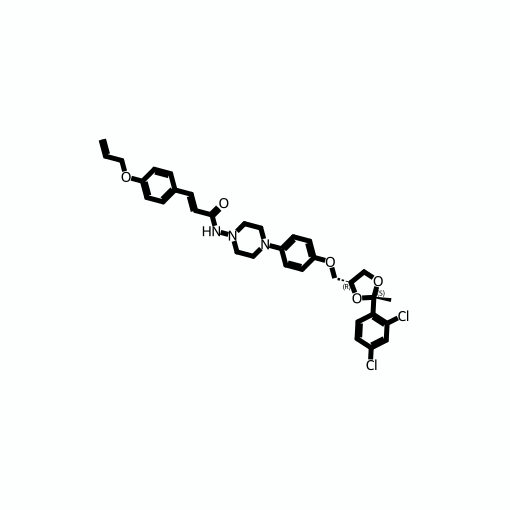 C=CCOc1ccc(C=CC(=O)NN2CCN(c3ccc(OC[C@@H]4CO[C@](C)(c5ccc(Cl)cc5Cl)O4)cc3)CC2)cc1